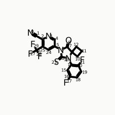 N#Cc1ncc(N2C(=O)C3(CCC3)N(c3cc(F)ccc3F)C2=S)cc1C(F)(F)F